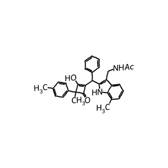 CC(=O)NCc1c(C(C2=C(O)C(C)(c3ccc(C)cc3)C2=O)c2ccccc2)[nH]c2c(C)cccc12